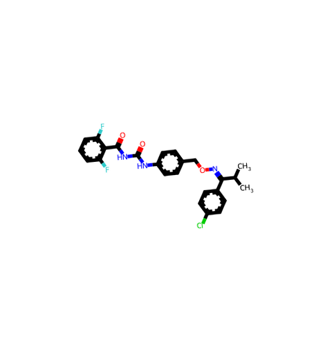 CC(C)/C(=N/OCc1ccc(NC(=O)NC(=O)c2c(F)cccc2F)cc1)c1ccc(Cl)cc1